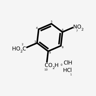 Cl.Cl.O=C(O)c1ccc([N+](=O)[O-])cc1C(=O)O